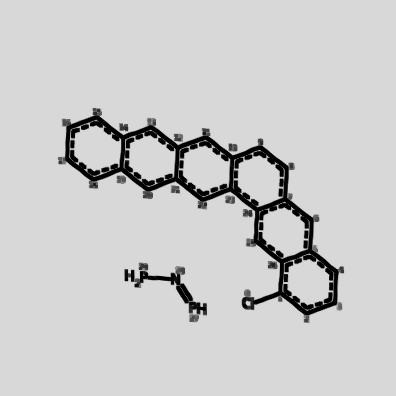 Clc1cccc2cc3ccc4cc5cc6ccccc6cc5cc4c3cc12.P=NP